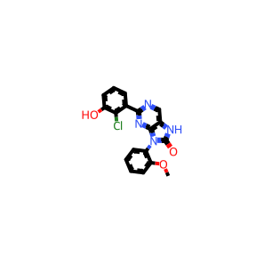 COc1ccccc1-n1c(=O)[nH]c2cnc(-c3cccc(O)c3Cl)nc21